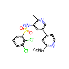 CC(=O)Nc1cc(-c2cnc(C)c(NS(=O)(=O)c3cccc(Cl)c3Cl)c2)ccn1